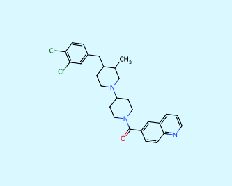 CC1CN(C2CCN(C(=O)c3ccc4ncccc4c3)CC2)CCC1Cc1ccc(Cl)c(Cl)c1